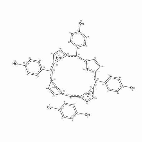 Oc1cc[c]([Co])cc1.Oc1ccc(-c2c3nc(c(-c4ccc(O)cc4)c4ccc([nH]4)c(-c4ccc(O)cc4)c4nc(cc5ccc2[nH]5)C=C4)C=C3)cc1